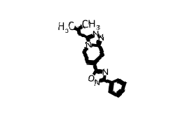 CC(C)Cc1nnc2n1CCC(c1nc(-c3ccccc3)no1)C2